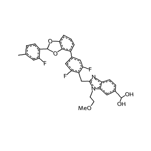 COCCn1c(Cc2c(F)cc(-c3cccc4c3OC(c3ccc(C)cc3F)O4)cc2F)nc2ccc(C(O)O)cc21